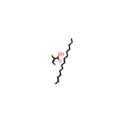 CC=C(C)C(=O)O.CCCCCCCCCCCCCCC